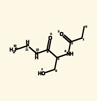 CCC(=O)NC(CO)C(=O)NPP